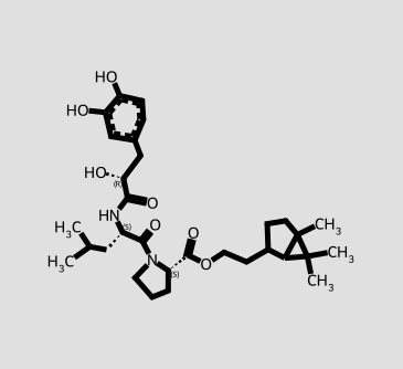 CC(C)C[C@H](NC(=O)[C@H](O)Cc1ccc(O)c(O)c1)C(=O)N1CCC[C@H]1C(=O)OCCC1CCC2(C)C1C2(C)C